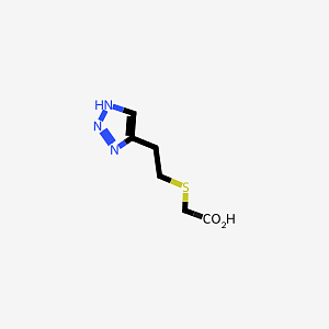 O=C(O)CSCCc1c[nH]nn1